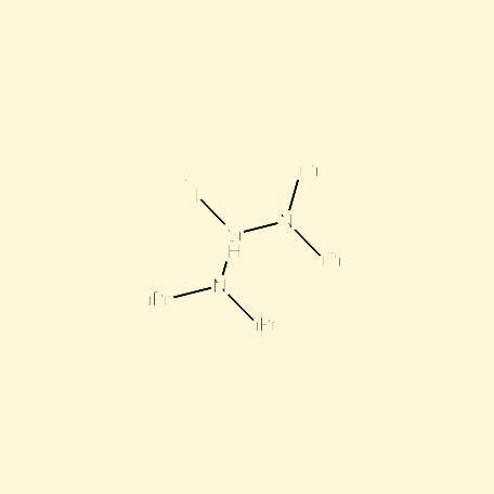 CC(C)N(C(C)C)[SiH](I)N(C(C)C)C(C)C